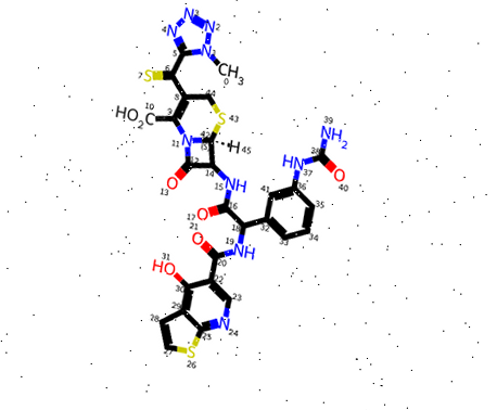 Cn1nnnc1C(=S)C1=C(C(=O)O)N2C(=O)C(NC(=O)C(NC(=O)c3cnc4sccc4c3O)c3cccc(NC(N)=O)c3)[C@@H]2SC1